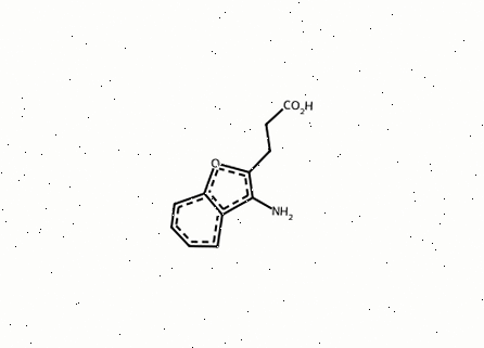 Nc1c(CCC(=O)O)oc2ccccc12